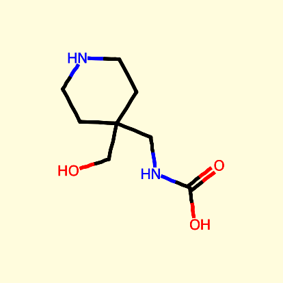 O=C(O)NCC1(CO)CCNCC1